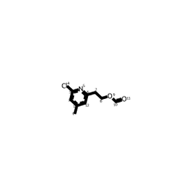 Cc1cc(Cl)nc(CCOC=O)c1